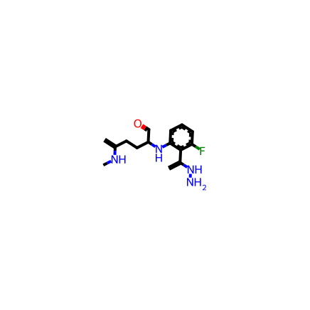 C=C(CCC(C=O)Nc1cccc(F)c1C(=C)NN)NC